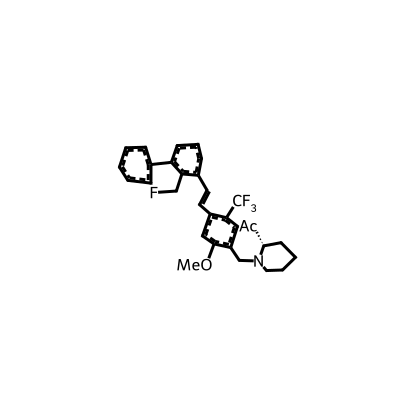 COc1cc(/C=C/c2cccc(-c3ccccc3)c2CF)c(C(F)(F)F)cc1CN1CCCC[C@H]1C(C)=O